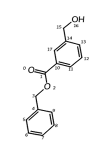 O=C(OCc1ccccc1)c1cccc(CO)c1